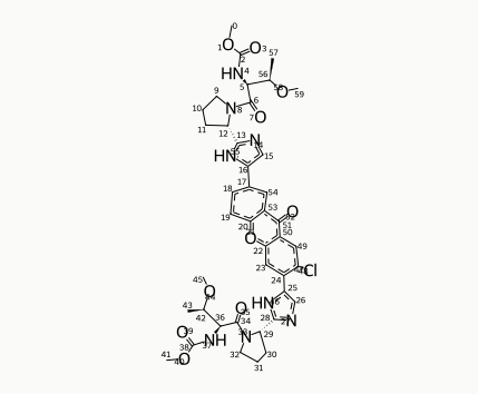 COC(=O)N[C@H](C(=O)N1CCC[C@H]1c1ncc(-c2ccc3oc4cc(-c5cnc([C@@H]6CCCN6C(=O)[C@@H](NC(=O)OC)[C@@H](C)OC)[nH]5)c(Cl)cc4c(=O)c3c2)[nH]1)[C@@H](C)OC